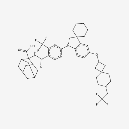 O=C(NC1(C(=O)O)C2CC3CC(C2)CC1C3)c1cnc(N2CC3(CCCCC3)c3cc(OC4CC5(CCN(CC(F)(F)F)CC5)C4)ccc32)nc1C(F)(F)F